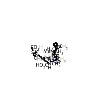 CN[C@H](C(=O)N[C@H](C(=O)N(C)C(/C=C(\C)C(=O)N[C@H](CCC(=O)NCCCN1C(=O)CC(SCCC(=O)O)C1=O)C(=O)O)C(C)C)C(C)(C)C)C(C)(C)c1cn(C)c2ccccc12